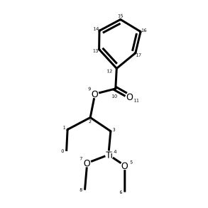 CCC([CH2][Ti]([O]C)[O]C)OC(=O)c1ccccc1